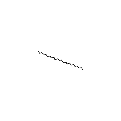 CCCCCCCC/C=C/CCCC/C=C/CCCCCCCC